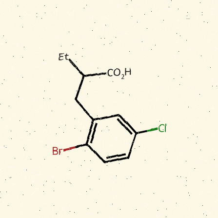 CCC(Cc1cc(Cl)ccc1Br)C(=O)O